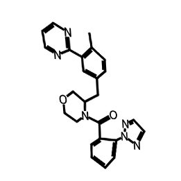 Cc1ccc(CC2COCCN2C(=O)c2ccccc2-n2nccn2)cc1-c1ncccn1